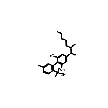 CCCCCC(C)C(C)c1cc(O)c(-c2cc(C)ccc2C(C)(C)O)c(O)c1